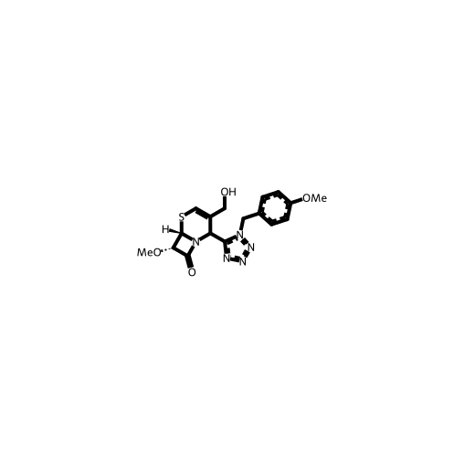 COc1ccc(Cn2nnnc2C2C(CO)=CS[C@H]3[C@@H](OC)C(=O)N23)cc1